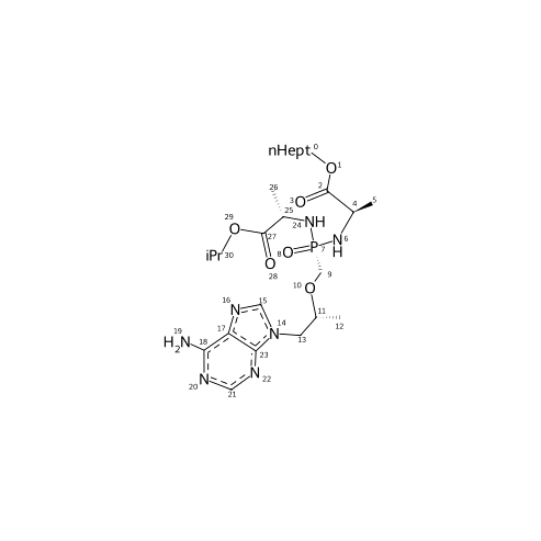 CCCCCCCOC(=O)[C@@H](C)N[P@](=O)(CO[C@H](C)Cn1cnc2c(N)ncnc21)N[C@@H](C)C(=O)OC(C)C